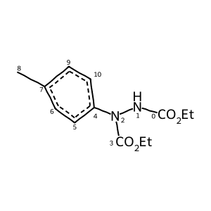 CCOC(=O)NN(C(=O)OCC)c1ccc(C)cc1